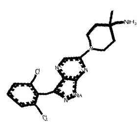 CC1(N)CCN(c2cnc3c(-c4c(Cl)cccc4Cl)n[nH]c3n2)CC1